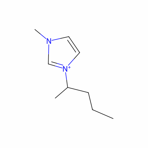 CCCC(C)[n+]1ccn(C)c1